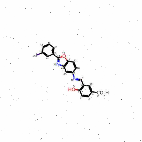 O=C(O)c1ccc(O)c(/C=N/c2ccc3oc(-c4cccc(I)c4)nc3c2)c1